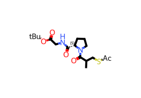 CC(=O)SCC(C)C(=O)N1CCC[C@H]1C(=O)NCC(=O)OC(C)(C)C